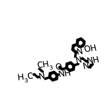 CCCN(CCC)Cc1ccc(NC(=O)c2ccc(CN(Cc3ccc4cccc(O)c4n3)Cc3ncc[nH]3)cc2)cc1